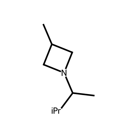 CC1CN(C(C)C(C)C)C1